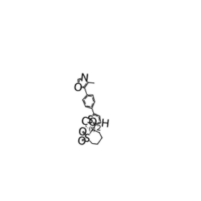 Cc1ncoc1-c1ccc(-c2ccc([C@@]3(CC(=O)O)CCCCS3(=O)=O)s2)cc1